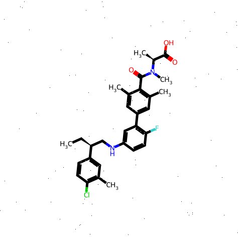 CC[C@@H](CNc1ccc(F)c(-c2cc(C)c(C(=O)N(C)[C@@H](C)C(=O)O)c(C)c2)c1)c1ccc(Cl)c(C)c1